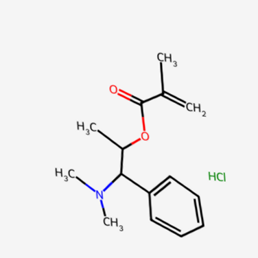 C=C(C)C(=O)OC(C)C(c1ccccc1)N(C)C.Cl